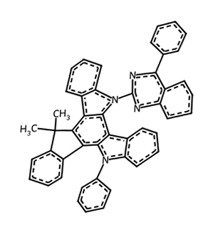 CC1(C)c2ccccc2-c2c1c1c3ccccc3n(-c3nc(-c4ccccc4)c4ccccc4n3)c1c1c3ccccc3n(-c3ccccc3)c21